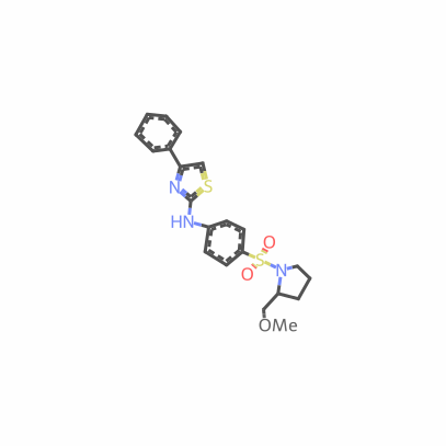 COCC1CCCN1S(=O)(=O)c1ccc(Nc2nc(-c3ccccc3)cs2)cc1